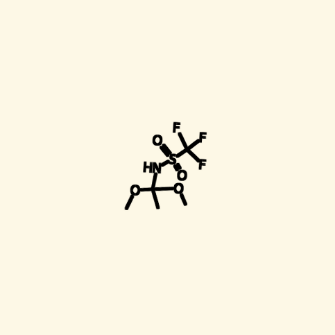 COC(C)(NS(=O)(=O)C(F)(F)F)OC